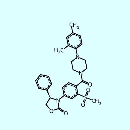 Cc1ccc(N2CCN(C(=O)c3ccc(N4C(=O)OC[C@H]4c4ccccc4)cc3S(C)(=O)=O)CC2)c(C)c1